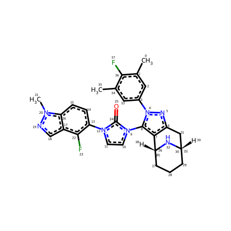 Cc1cc(-n2nc3c(c2-n2ccn(-c4ccc5c(cnn5C)c4F)c2=O)[C@H]2CCC[C@@H](C3)N2)cc(C)c1F